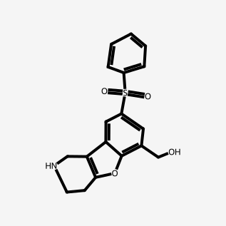 O=S(=O)(c1ccccc1)c1cc(CO)c2oc3c(c2c1)CNCC3